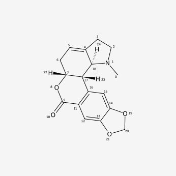 CN1CCC2=CC[C@H]3OC(=O)c4cc5c(cc4[C@H]3[C@@H]21)OCO5